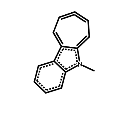 Cn1c2c(c3ccccc31)=CC=C=CC=2